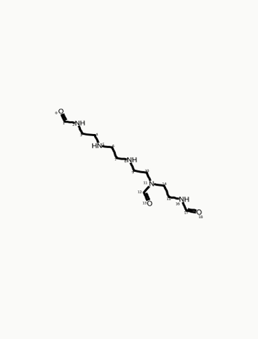 O=CNCCNCCNCCN(C=O)CCNC=O